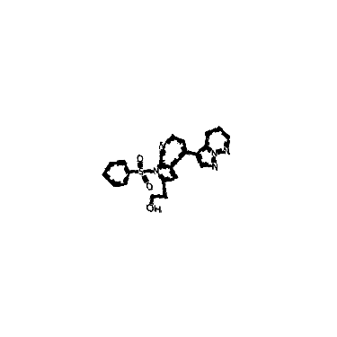 O=S(=O)(c1ccccc1)n1c(CCO)cc2c(-c3cnn4ncccc34)ccnc21